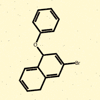 BrC1=CC(Oc2ccccc2)C2=CC=CCC2=C1